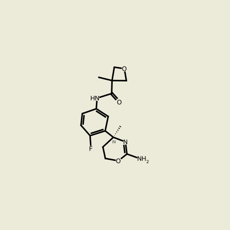 CC1(C(=O)Nc2ccc(F)c([C@]3(C)CCOC(N)=N3)c2)COC1